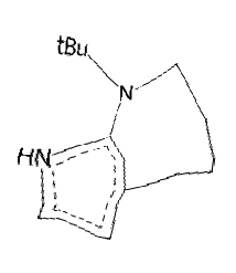 CC(C)(C)N1CCCc2cc[nH]c21